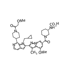 COCC(=O)N1CCC(c2nccc3cc(-c4nn5cc(C(=O)N6CCCC(NC(=O)O)C6)cc(OC)c5c4C)n(CC4CC4)c23)CC1